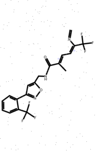 C=N/C(=C\C=C(/C)C(=O)NCc1cc(-c2ccccc2C(F)(F)F)no1)C(F)(F)F